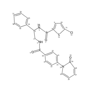 O=C(NCC(NC(=O)c1ccc(Cl)s1)c1ccccc1)c1ccc(-n2ccccc2=O)cc1